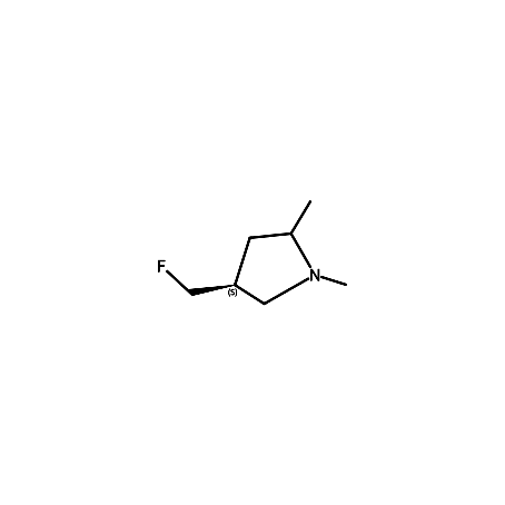 CC1C[C@H](CF)CN1C